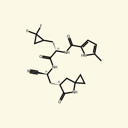 Cc1ccc(C(=O)N[C@@H](CC2CC2(F)F)C(=O)N[C@H](C#N)C[C@@H]2CC3(CC3)NC2=O)[nH]1